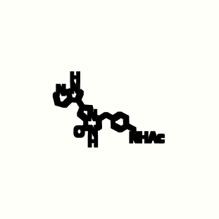 CC(=O)NCc1ccc(Cc2c[nH]c(=O)c3cc(-c4c[nH]c5ncccc45)cn23)cc1